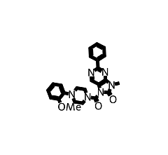 COc1ccccc1N1CCN(C(=O)n2c(=O)n(C)c3nc(-c4ccccc4)ncc32)CC1